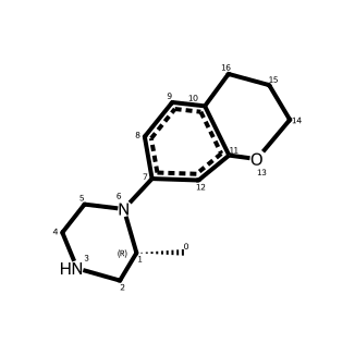 C[C@@H]1CNCCN1c1ccc2c(c1)OCCC2